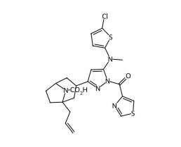 C=CCC12CCC(CC(c3cc(N(C)c4ccc(Cl)s4)n(C(=O)c4cscn4)n3)C1)N2C(=O)O